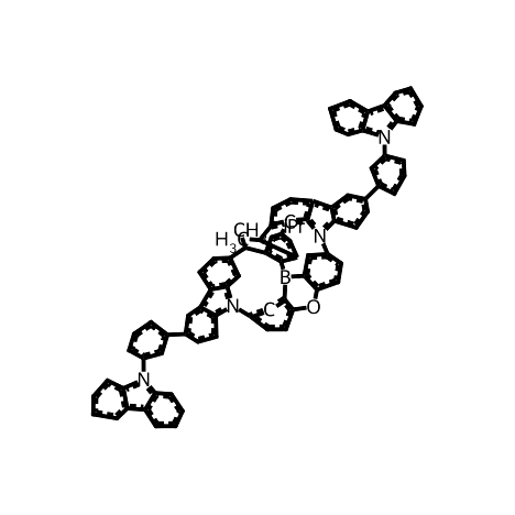 CC(C)c1cc2c3c(c1)C(C)c1ccc4c5cc(-c6cccc(-n7c8ccccc8c8ccccc87)c6)ccc5n(c4c1)-c1ccc4c(c1)B3c1cc(ccc1O4)-n1c3ccc(-c4cccc(-n5c6ccccc6c6ccccc65)c4)cc3c3ccc(cc31)C2C